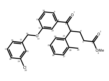 COC(=O)CCC(C(=O)c1cccc(OCc2cccc(Cl)c2)c1)c1ccccc1C